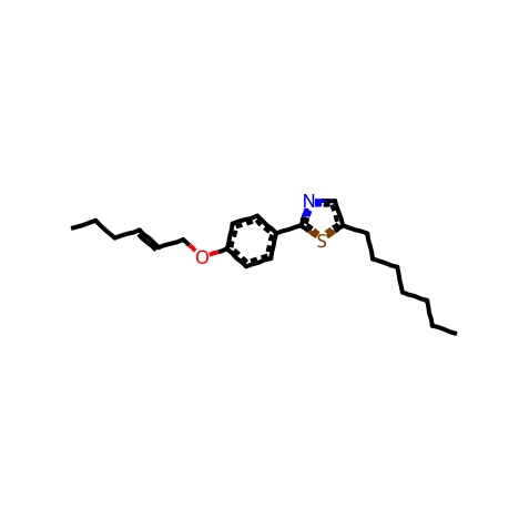 CCCC=CCOc1ccc(-c2ncc(CCCCCCC)s2)cc1